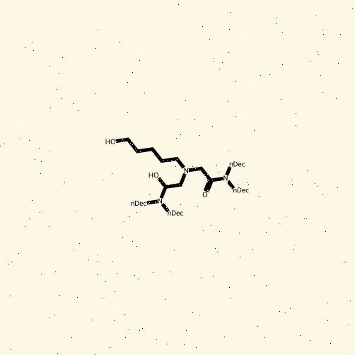 CCCCCCCCCCN(CCCCCCCCCC)C(=O)CN(CCCCCO)CC(O)N(CCCCCCCCCC)CCCCCCCCCC